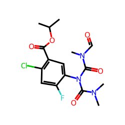 CC(C)OC(=O)c1cc(N(C(=O)N(C)C)C(=O)N(C)C=O)c(F)cc1Cl